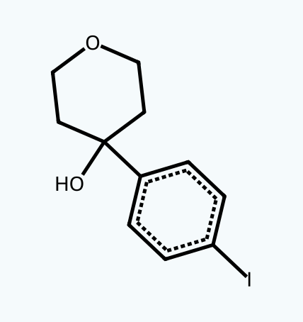 OC1(c2ccc(I)cc2)CCOCC1